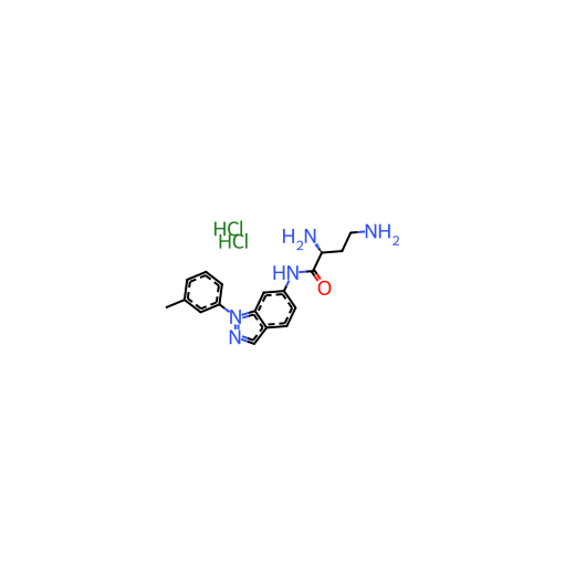 Cc1cccc(-n2ncc3ccc(NC(=O)[C@@H](N)CCN)cc32)c1.Cl.Cl